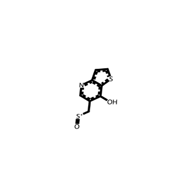 O=[S+]Cc1cnc2ccsc2c1O